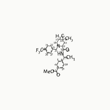 COC(=O)c1ccc([C@H](C)NC(=O)C2CC(C)(C)CCN2Cc2ccc(C(F)(F)F)cc2)cc1